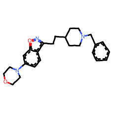 c1ccc(CN2CCC(CCc3noc4cc(N5CCOCC5)ccc34)CC2)cc1